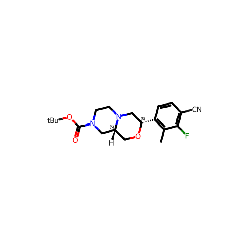 Cc1c([C@H]2CN3CCN(C(=O)OC(C)(C)C)C[C@H]3CO2)ccc(C#N)c1F